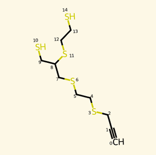 C#CCSCCSCC(CS)SCCS